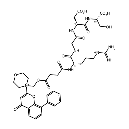 N=C(N)NCCC[C@H](NC(=O)CCC(=O)OC[N+]1(c2cc(=O)c3cccc(-c4ccccc4)c3o2)CCOCC1)C(=O)NCC(=O)N[C@@H](CC(=O)O)C(=O)N[C@@H](CO)C(=O)O